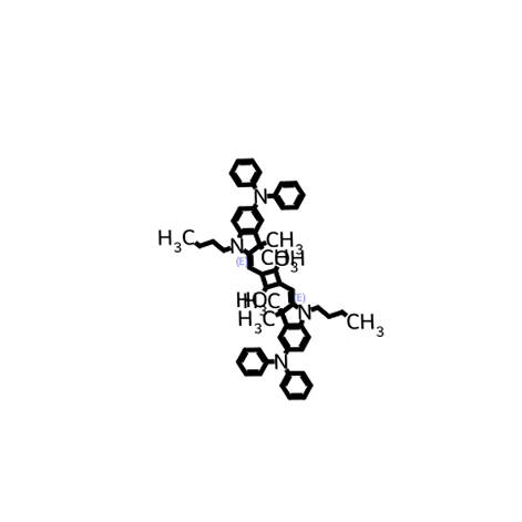 CCCCN1/C(=C/C2C(O)C(/C=C3/N(CCCC)c4ccc(N(c5ccccc5)c5ccccc5)cc4C3(C)C)C2O)C(C)(C)c2cc(N(c3ccccc3)c3ccccc3)ccc21